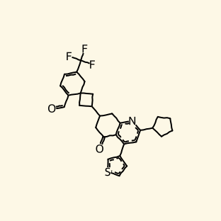 O=CC1=CC=C(C(F)(F)F)CC12CC(C1CC(=O)c3c(-c4ccsc4)cc(C4CCCC4)nc3C1)C2